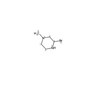 CN1[CH]C(Br)NCC1